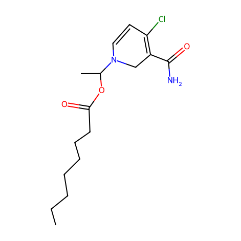 CCCCCCCC(=O)OC(C)N1C=CC(Cl)=C(C(N)=O)C1